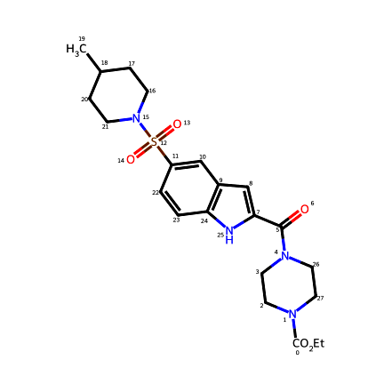 CCOC(=O)N1CCN(C(=O)c2cc3cc(S(=O)(=O)N4CCC(C)CC4)ccc3[nH]2)CC1